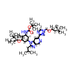 CC(C)Cc1nc2cnc(-c3ncn(COCC[Si](C)(C)C)n3)cc2n1C1CC(NC(=O)OC(C)(C)C)CC(O[Si](C)(C)C(C)(C)C)C1